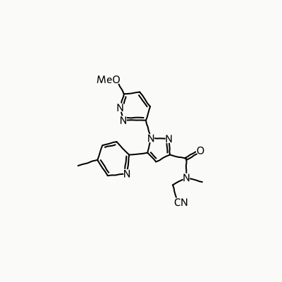 COc1ccc(-n2nc(C(=O)N(C)CC#N)cc2-c2ccc(C)cn2)nn1